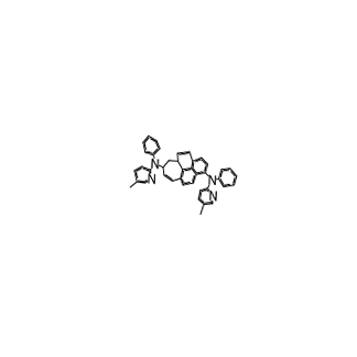 Cc1ccc(N(c2ccccc2)c2ccc3c4c5c(ccc24)C=CC(N(c2ccccc2)c2ccc(C)cn2)CC5C=C3)nc1